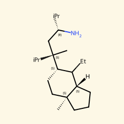 CCC1[C@@H]2CCC[C@@]2(C)CC[C@@H]1[C@@](C)(C[C@@H](N)C(C)C)C(C)C